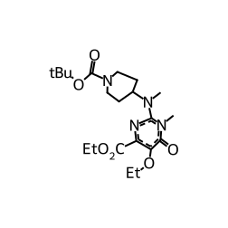 CCOC(=O)c1nc(N(C)C2CCN(C(=O)OC(C)(C)C)CC2)n(C)c(=O)c1OCC